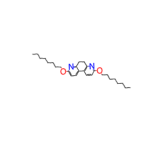 CCCCCCCCOc1ccc2c(n1)CCc1nc(OCCCCCCCC)ccc1-2